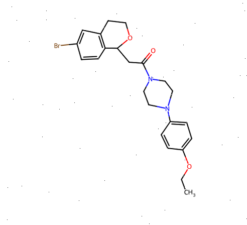 CCOc1ccc(N2CCN(C(=O)CC3OCCc4cc(Br)ccc43)CC2)cc1